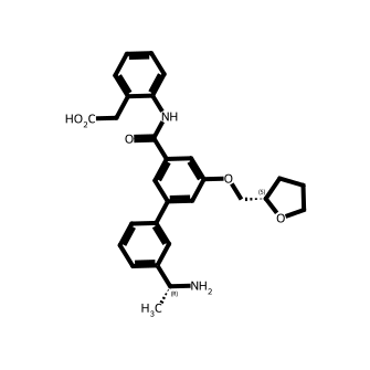 C[C@@H](N)c1cccc(-c2cc(OC[C@@H]3CCCO3)cc(C(=O)Nc3ccccc3CC(=O)O)c2)c1